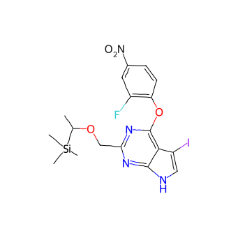 CC(OCc1nc(Oc2ccc([N+](=O)[O-])cc2F)c2c(I)c[nH]c2n1)[Si](C)(C)C